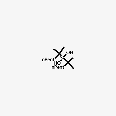 CCCCCC(C)(C)[Si](O)(O)C(C)(C)CCCCC